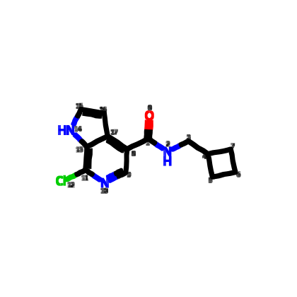 O=C(NCC1CCC1)c1cnc(Cl)c2[nH]ccc12